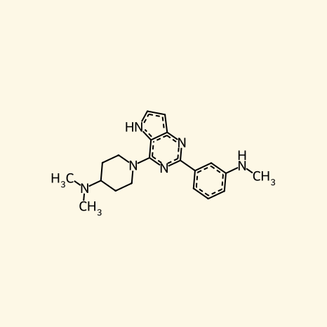 CNc1cccc(-c2nc(N3CCC(N(C)C)CC3)c3[nH]ccc3n2)c1